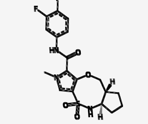 Cn1cc2c(c1C(=O)Nc1ccc(F)c(F)c1)OC[C@@H]1CCC[C@H]1NS2(=O)=O